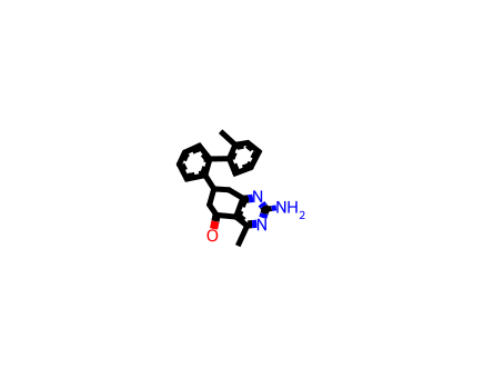 Cc1ccccc1-c1ccccc1C1CC(=O)c2c(C)nc(N)nc2C1